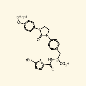 CCCCCCCOc1ccc(N2CCN(c3ccc(C[C@H](NC(=O)c4ccc(C(C)(C)C)s4)C(=O)O)cc3)C2=O)cc1